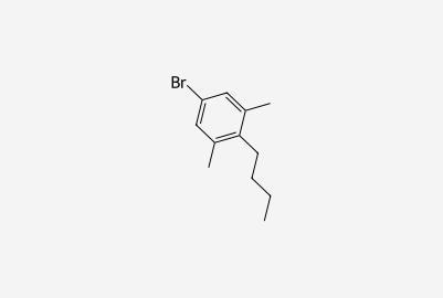 CCCCc1c(C)cc(Br)cc1C